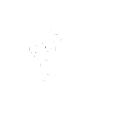 COC(=O)c1ccc(-c2nn(C(=O)c3c(C)cc(O)cc3Cl)c3cccnc23)c(F)c1